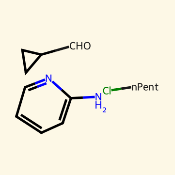 CCCCCCl.Nc1ccccn1.O=CC1CC1